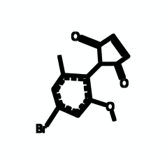 COc1cc(Br)cc(C)c1C1C(=O)C=CC1=O